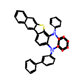 c1ccc(-c2cccc(N(c3ccccc3)c3ccc4c(sc5cc6ccccc6cc54)c3N(c3ccccc3)c3ccccc3)c2)cc1